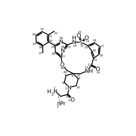 CCC[C@H](N)C(=O)N1CCC2(CC1)CNC(=O)c1cccc(c1)S(=O)(=O)Nc1nc(cc(-c3c(C)cccc3C)n1)OC2